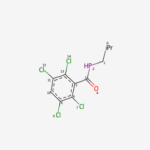 CC(C)CPC(=O)c1c(Cl)c(Cl)cc(Cl)c1Cl